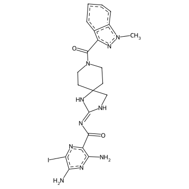 Cn1nc(C(=O)N2CCC3(CC2)CN/C(=N\C(=O)c2nc(I)c(N)nc2N)N3)c2ccccc21